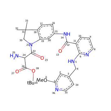 COc1cc(CNc2ncccc2C(=O)Nc2ccc3c(c2)N(C(=O)C(N)C(=O)OC(C)(C)C)CC3(C)C)ccn1